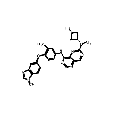 Cc1cc(Nc2ncnc3cnc(N(C)[C@H]4C[C@@H](O)C4)nc23)ccc1Oc1ccc2c(c1)ncn2C